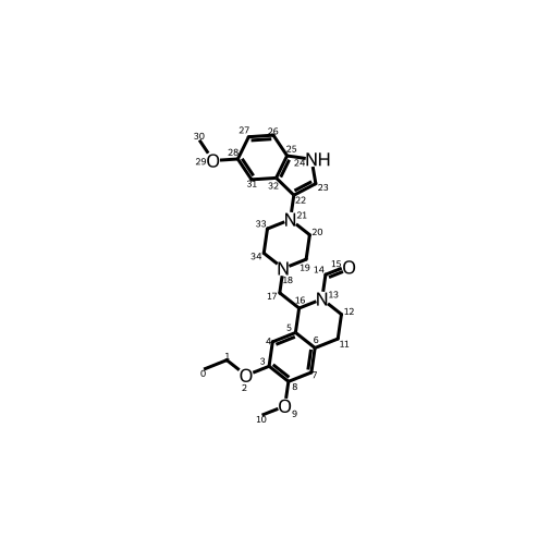 CCOc1cc2c(cc1OC)CCN(C=O)C2CN1CCN(c2c[nH]c3ccc(OC)cc23)CC1